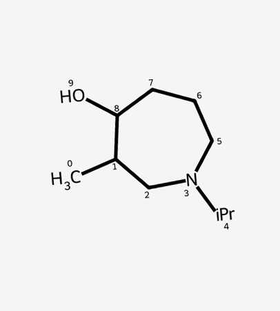 CC1CN(C(C)C)CCCC1O